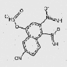 N=[N+]([O-])c1cc(O[SH](=O)=O)c2cc(N=O)ccc2c1[N+](=N)[O-]